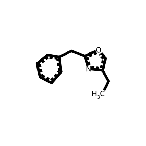 CCc1coc(Cc2ccccc2)n1